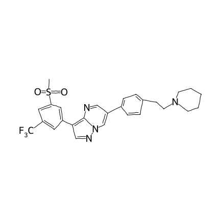 CS(=O)(=O)c1cc(-c2cnn3cc(-c4ccc(CCN5CCCCC5)cc4)cnc23)cc(C(F)(F)F)c1